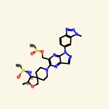 C[C@@H]1OCC2(CCN(c3nc4cnn(-c5ccc6nnn(C)c6c5)c4nc3COS(=O)C(C)(C)C)CC2)[C@@H]1N[S+]([O-])C(C)(C)C